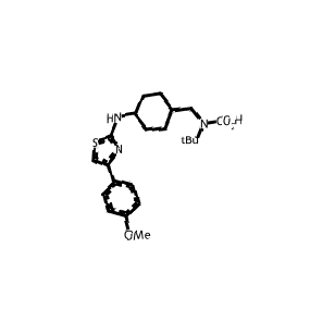 COc1ccc(-c2csc(NC3CCC(CN(C(=O)O)C(C)(C)C)CC3)n2)cc1